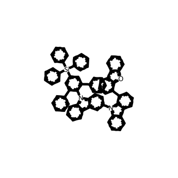 c1ccc(-c2cc([Si](c3ccccc3)(c3ccccc3)c3ccccc3)cc(-c3ccccc3)c2-n2c3ccccc3c3cc(-n4c5ccccc5c5cccc(-c6cccc7c6oc6ccccc67)c54)ccc32)cc1